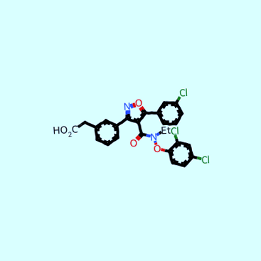 CCN(Oc1ccc(Cl)cc1Cl)C(=O)c1c(-c2cccc(CC(=O)O)c2)noc1-c1cccc(Cl)c1